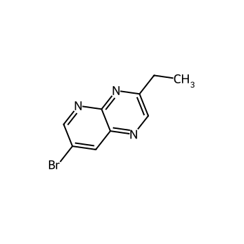 CCc1cnc2cc(Br)cnc2n1